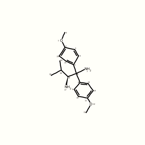 COc1ccc(C(N)(c2ccc(OC)cc2)[C@@H](N)C(C)C)cc1